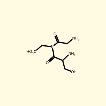 NCC(=O)N(CC(=O)O)C(=O)C(N)CO